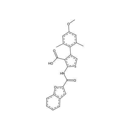 COc1cc(C)c(-c2csc(NC(=O)c3cc4ccccc4o3)c2C(=O)O)c(C)c1